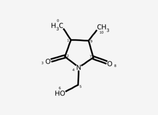 CC1C(=O)N(CO)C(=O)C1C